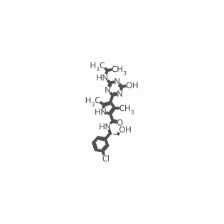 Cc1[nH]c(C(=O)N[C@H](CO)c2cccc(Cl)c2)c(C)c1-c1nc(O)nc(NC(C)C)n1